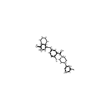 Cc1cncc(N2CCN(C(=O)c3cc(Cc4n[nH]c(=O)c5c4CCCC5)ccc3F)CC2)n1